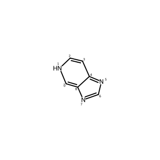 [c]1[nH]ccc2ncnc1-2